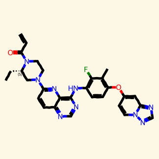 C=CC(=O)N1CCN(c2ccc3ncnc(Nc4ccc(Oc5ccn6ncnc6c5)c(C)c4F)c3n2)C[C@@H]1CC